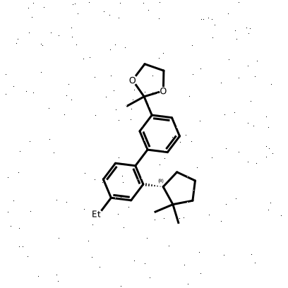 CCc1ccc(-c2cccc(C3(C)OCCO3)c2)c([C@@H]2CCCC2(C)C)c1